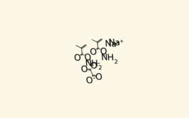 C=C(C)C(=O)ON.C=C(C)C(=O)ON.O=C([O-])C(=O)[O-].[Na+].[Na+]